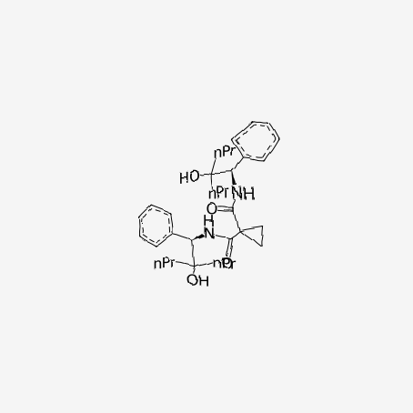 CCCC(O)(CCC)[C@H](NC(=O)C1(C(=O)N[C@H](c2ccccc2)C(O)(CCC)CCC)CC1)c1ccccc1